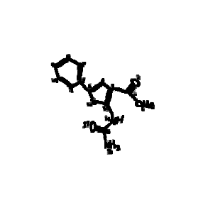 COC(=O)c1cc(-c2ccccc2)sc1NC(N)=O